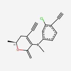 C#CC1=C(B(C)c2ccc(C#C)c(Cl)c2)C(=C)O[C@@H](C)C1